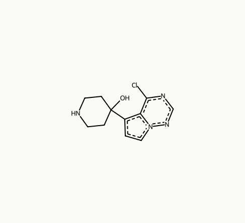 OC1(c2ccn3ncnc(Cl)c23)CCNCC1